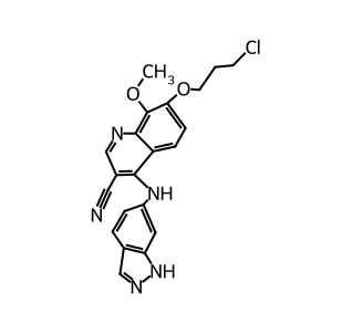 COc1c(OCCCCl)ccc2c(Nc3ccc4cn[nH]c4c3)c(C#N)cnc12